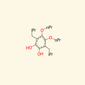 CCCOc1c(CC(C)C)c(O)c(O)c(CC(C)C)c1OCCC